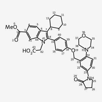 COC(=O)c1ccc2c(C3CCCCC3)c(-c3ccc(OCc4cc(N5CCCC5=O)ccc4N4CCOCC4)cc3)n(CC(=O)O)c2c1